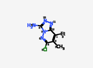 CCc1c(C)c(Cl)nn2c(N)nnc12